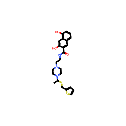 CC(SCc1cccs1)N1CCN(CCNC(=O)c2cc3cccc(O)c3cc2O)CC1